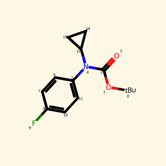 CC(C)(C)OC(=O)N(c1ccc(F)cc1)C1CC1